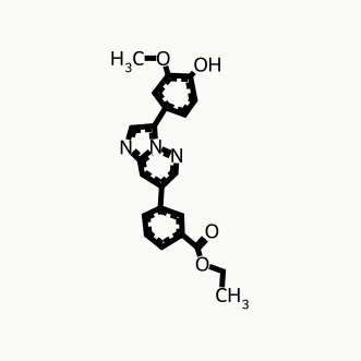 CCOC(=O)c1cccc(-c2cnn3c(-c4ccc(O)c(OC)c4)cnc3c2)c1